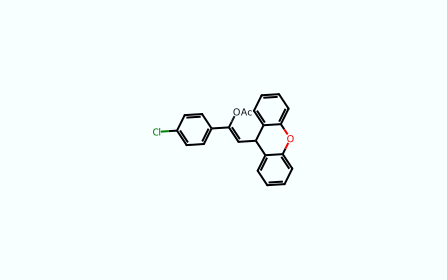 CC(=O)OC(=CC1c2ccccc2Oc2ccccc21)c1ccc(Cl)cc1